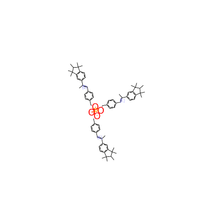 C/C(=C\c1ccc(COP(=O)(OCc2ccc(/C=C(\C)c3ccc4c(c3)C(C)(C)C(C)C4(C)C)cc2)OCc2ccc(/C=C(\C)c3ccc4c(c3)C(C)(C)C(C)C4(C)C)cc2)cc1)c1ccc2c(c1)C(C)(C)C(C)C2(C)C